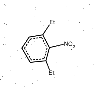 CCc1c[c]cc(CC)c1[N+](=O)[O-]